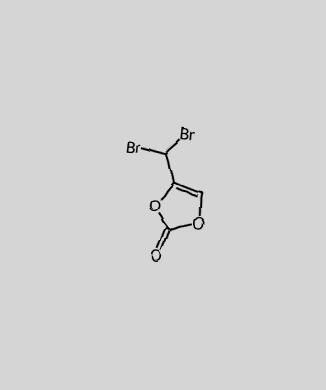 O=c1occ(C(Br)Br)o1